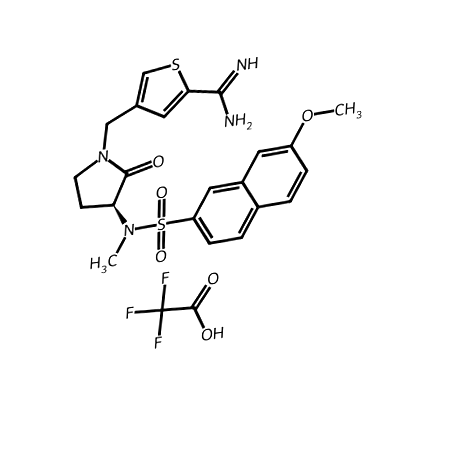 COc1ccc2ccc(S(=O)(=O)N(C)[C@H]3CCN(Cc4csc(C(=N)N)c4)C3=O)cc2c1.O=C(O)C(F)(F)F